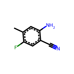 Cc1cc(N)c(C#N)cc1F